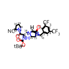 C[C@@H](c1cc(C(F)(F)F)cc(C(F)(F)F)c1)N1C(=O)[C@@H]2CC1CN2C[C@H](NC(=O)OC(C)(C)C)C(=O)N1CCC[C@H]1C#N